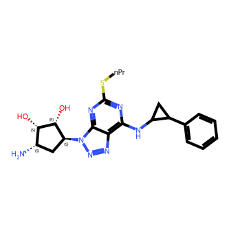 CCCSc1nc(NC2CC2c2ccccc2)c2nnn([C@H]3C[C@H](N)[C@H](O)[C@@H]3O)c2n1